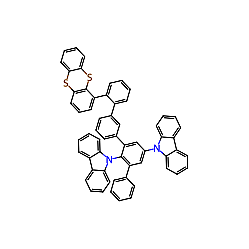 c1ccc(-c2cc(-n3c4ccccc4c4ccccc43)cc(-c3cccc(-c4ccccc4-c4cccc5c4Sc4ccccc4S5)c3)c2-n2c3ccccc3c3ccccc32)cc1